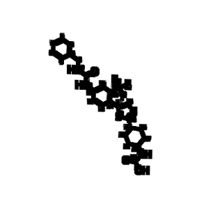 O=C(NCc1ccccc1)Nc1ccc(-c2cnc([C@H]3CC[C@H](NC(=O)O)CC3)s2)c(C(F)(F)F)c1